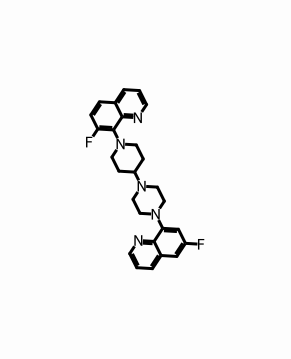 Fc1cc(N2CCN(C3CCN(c4c(F)ccc5cccnc45)CC3)CC2)c2ncccc2c1